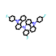 Fc1ccc(N(c2cccc3c2c2ccccc2n3-c2ccc(F)cc2)c2cccc3c2c2ccccc2n3-c2ccc(F)cc2)cc1